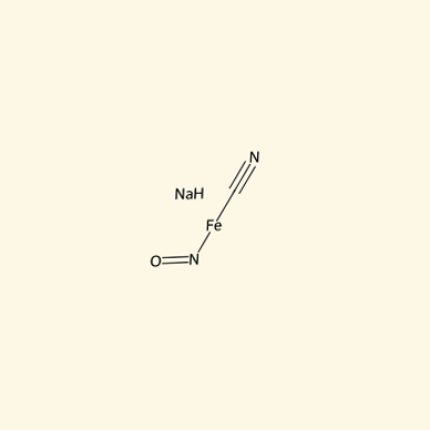 N#[C][Fe][N]=O.[NaH]